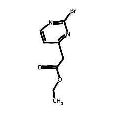 CCOC(=O)Cc1ccnc(Br)n1